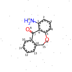 Nc1cccc2c1C(=O)c1ccccc1CO2